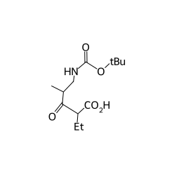 CCC(C(=O)O)C(=O)C(C)CNC(=O)OC(C)(C)C